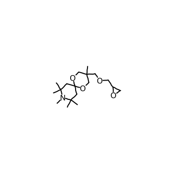 CN1C(C)(C)CC2(CC1(C)C)OCC(C)(COCC1CO1)CO2